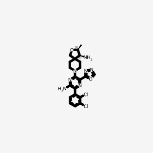 C[C@@H]1OCC2(CCN(c3nc(N)c(-c4cccc(Cl)c4Cl)nc3-c3nnco3)CC2)[C@@H]1N